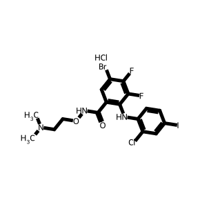 CN(C)CCONC(=O)c1cc(Br)c(F)c(F)c1Nc1ccc(I)cc1Cl.Cl